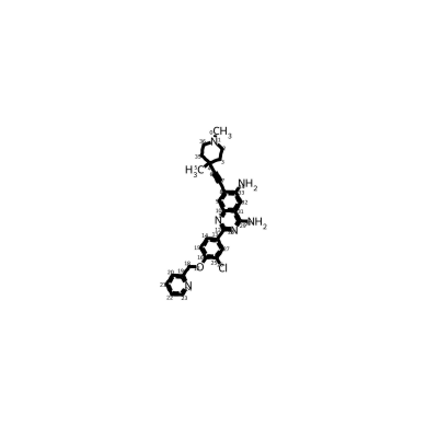 CN1CCC(C)(C#Cc2cc3nc(-c4ccc(OCc5ccccn5)c(Cl)c4)nc(N)c3cc2N)CC1